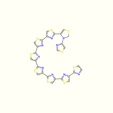 [c]1csc(-c2csc(-c3csc(-c4csc(-c5csc(-c6csc(-c7csc(C8=CSCN8c8cscn8)n7)n6)n5)n4)n3)n2)n1